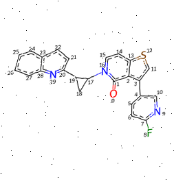 O=c1c2c(-c3ccc(F)nc3)csc2ccn1C1CC1c1ccc2ccccc2n1